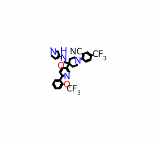 CN1CC[C@@H](NC(=O)C2(c3ccc(-c4ccccc4OC(F)(F)F)nc3)CCN(c3ccc(C(F)(F)F)cc3C#N)CC2)C1